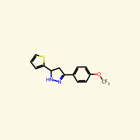 FC(F)(F)Oc1ccc(C2=NNC(c3cccs3)C2)cc1